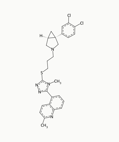 Cc1ccc2c(-c3nnc(SCCCN4C[C@H]5C[C@@]5(c5ccc(Cl)c(Cl)c5)C4)n3C)cccc2n1